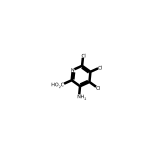 Nc1c(C(=O)O)nc(Cl)c(Cl)c1Cl